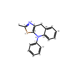 Cc1nc2c(s1)N(c1ccccc1)c1ccccc1C2